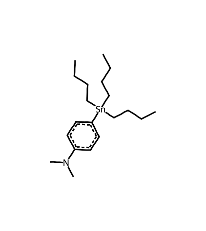 CCC[CH2][Sn]([CH2]CCC)([CH2]CCC)[c]1ccc(N(C)C)cc1